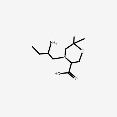 CCC(N)CN1CC(C)(C)OCC1C(=O)O